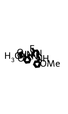 COc1ccccc1Nc1ncc(F)c(Nc2ccccc2NS(C)(=O)=O)n1